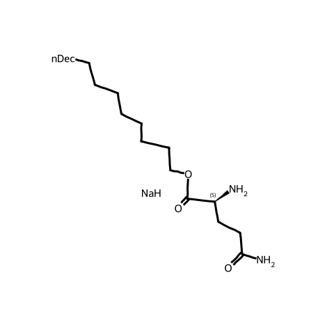 CCCCCCCCCCCCCCCCCCOC(=O)[C@@H](N)CCC(N)=O.[NaH]